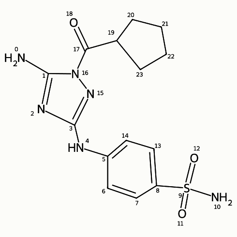 Nc1nc(Nc2ccc(S(N)(=O)=O)cc2)nn1C(=O)C1CCCC1